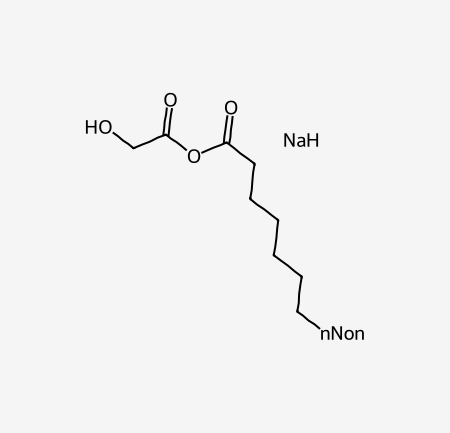 CCCCCCCCCCCCCCCC(=O)OC(=O)CO.[NaH]